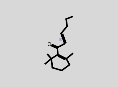 CCC/C=C/C(=O)C1=C(C)CCCC1(C)C